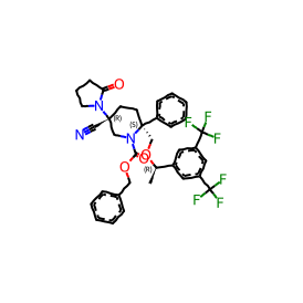 C[C@@H](OC[C@@]1(c2ccccc2)CC[C@@](C#N)(N2CCCC2=O)CN1C(=O)OCc1ccccc1)c1cc(C(F)(F)F)cc(C(F)(F)F)c1